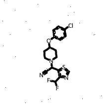 N#CC(c1scnc1C(F)F)N1CCC(Oc2ccc(Cl)cc2)CC1